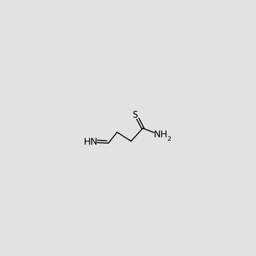 N=CCCC(N)=S